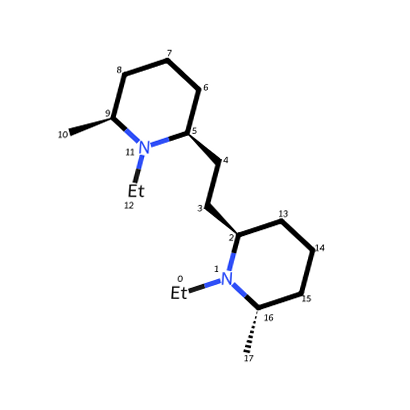 CCN1[C@@H](CC[C@@H]2CCC[C@H](C)N2CC)CCC[C@@H]1C